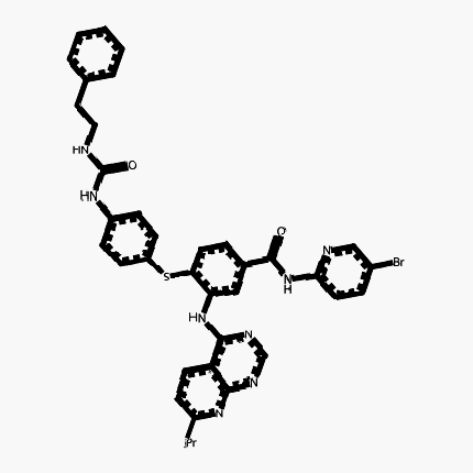 CC(C)c1ccc2c(Nc3cc(C(=O)Nc4ccc(Br)cn4)ccc3Sc3ccc(NC(=O)NCCc4ccccc4)cc3)ncnc2n1